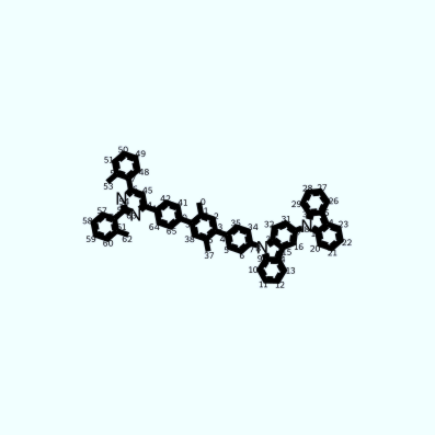 Cc1cc(-c2ccc(-n3c4ccccc4c4cc(-n5c6ccccc6c6ccccc65)ccc43)cc2)c(C)cc1-c1ccc(-c2cc(-c3ccccc3C)nc(-c3ccccc3C)n2)cc1